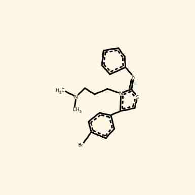 CN(C)CCCn1c(-c2ccc(Br)cc2)cs/c1=N/c1ccccc1